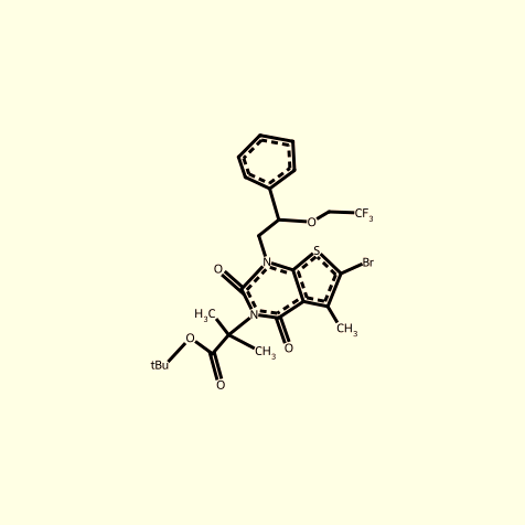 Cc1c(Br)sc2c1c(=O)n(C(C)(C)C(=O)OC(C)(C)C)c(=O)n2CC(OCC(F)(F)F)c1ccccc1